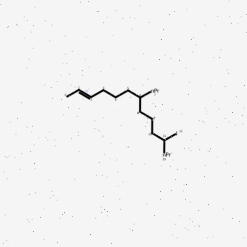 C/C=C/CCCC(CCC)CCCC(I)CCC